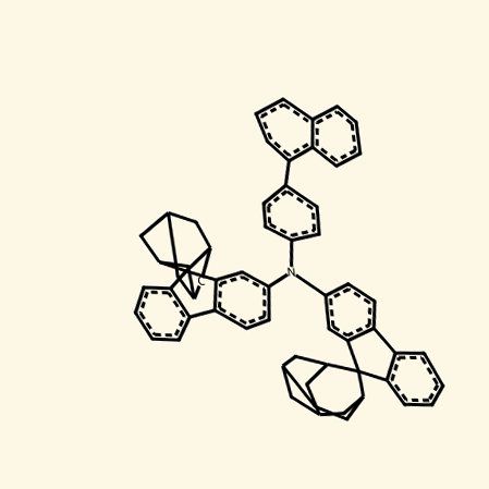 c1ccc2c(c1)-c1ccc(N(c3ccc(-c4cccc5ccccc45)cc3)c3ccc4c(c3)C3(c5ccccc5-4)C4CC5CC(C4)CC3C5)cc1C21C2CCC3CC(C2)CC1C3